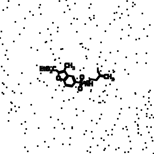 C=C(I)CCNS(=O)(=O)c1ccc2oc(C(=O)OCC)c(C)c2c1